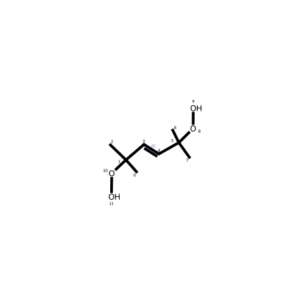 CC(C)(/C=C/C(C)(C)OO)OO